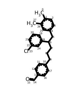 Cc1ccc(CC(CCCc2ccc(C=O)cc2)c2cccc(Cl)c2)cc1C